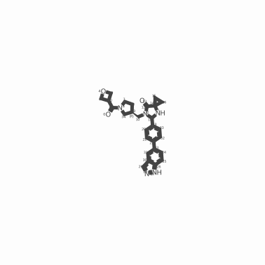 O=C(C1COC1)N1CC[C@@H](CN2C(=O)C3(CC3)NC2c2ccc(-c3ccc4[nH]ncc4c3)cc2)C1